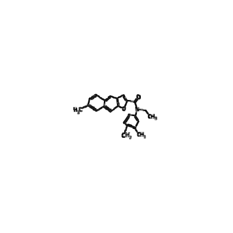 CCN(C(=O)c1cc2cc3ccc(C)cc3cc2o1)c1ccc(C)c(C)c1